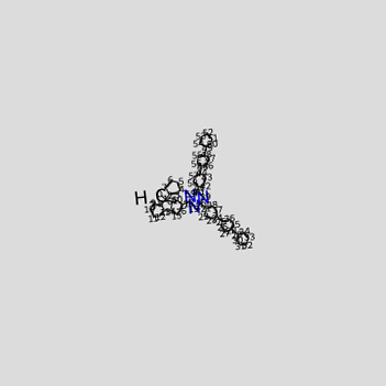 CC1(c2ccccc2)c2ccccc2-c2ccc(-c3nc(-c4ccc(-c5ccc(-c6ccccc6)cc5)cc4)nc(-c4ccc(-c5ccc(-c6ccccc6)cc5)cc4)n3)cc21